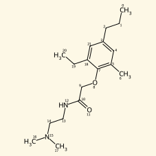 CCCc1cc(C)c(OCC(=O)NCCN(C)C)c(CC)c1